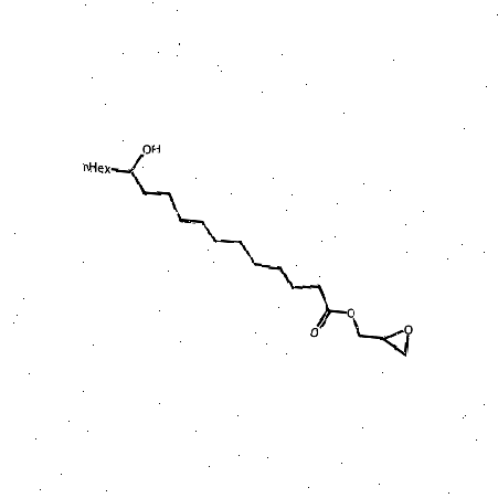 CCCCCCC(O)CCCCCCCCCCC(=O)OCC1CO1